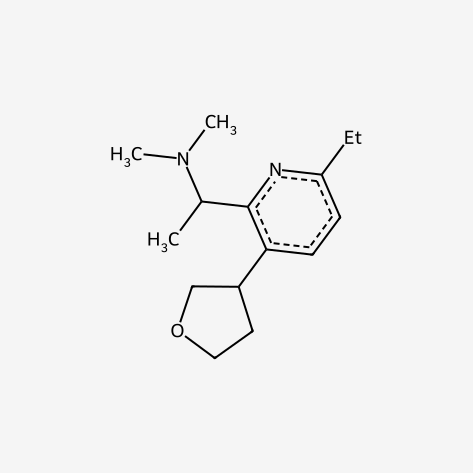 CCc1ccc(C2CCOC2)c(C(C)N(C)C)n1